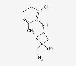 C=CC1(CCC)CC(NC2=C(C)CCC=C2C)C1